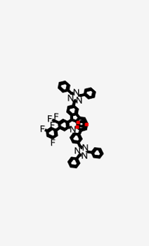 Fc1cc(F)cc(-c2cc(-n3c4ccccc4c4cc(-c5nc(-c6ccccc6)nc(-c6ccccc6)n5)ccc43)c(C3c4ccccc4-c4cc(-c5nc(-c6ccccc6)nc(-c6ccccc6)n5)ccc43)cc2C(F)(F)F)c1